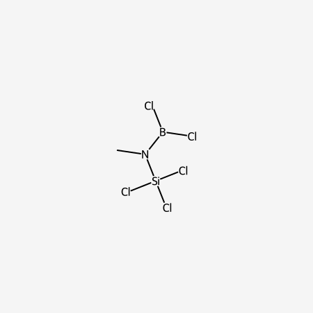 CN(B(Cl)Cl)[Si](Cl)(Cl)Cl